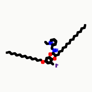 CCCCCCCCCCCCCCCCC(Oc1ccc(OCCCCCCCCCCCCCC)cc1C)C(=O)NCc1cccc[n+]1CC.[I-]